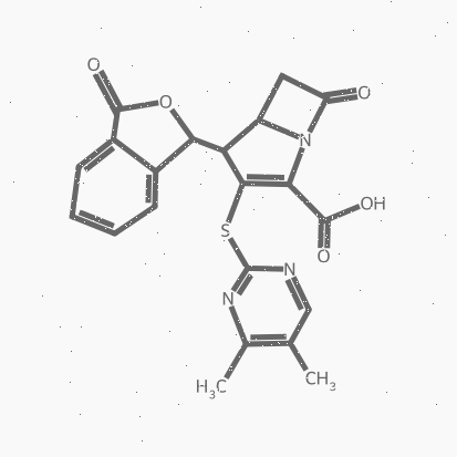 Cc1cnc(SC2=C(C(=O)O)N3C(=O)CC3C2C2OC(=O)c3ccccc32)nc1C